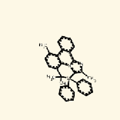 Cc1nc2c3ccccc3c3c(C)ccc4c3n2c1[Si](c1ccccc1)(c1ccccc1)C4(C)C